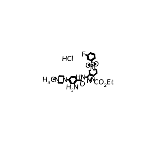 CCOC(=O)n1nc(NC(=O)c2ccc(N3CCN(C)CC3)cc2N)c2c1CCN(S(=O)(=O)c1cccc(F)c1)C2.Cl